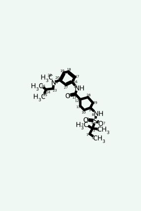 CCC(C)(C)S(=O)(=O)NC1CCC(C(=O)Nc2cccc(N(C)CC(C)C)c2)CC1